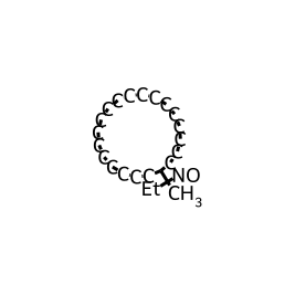 CCC(C)(N=O)C1CCCCCCCCCCCCCCCCCCC1